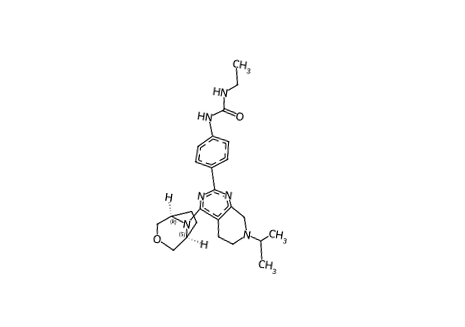 CCNC(=O)Nc1ccc(-c2nc3c(c(N4[C@@H]5CC[C@H]4COC5)n2)CCN(C(C)C)C3)cc1